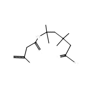 C=C(C)CC(=O)NC(C)(C)CC(C)(C)CC(=O)C(C)C